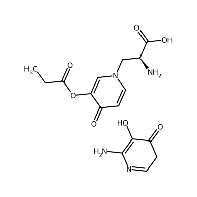 CCC(=O)Oc1cn(C[C@H](N)C(=O)O)ccc1=O.NC1=C(O)C(=O)CC=N1